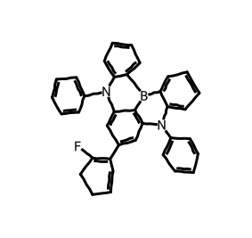 FC1=C(c2cc3c4c(c2)N(c2ccccc2)c2ccccc2B4c2ccccc2N3c2ccccc2)C=CCC1